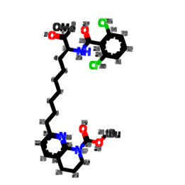 COC(=O)[C@H](CCCCCCCc1ccc2c(n1)N(C(=O)OC(C)(C)C)CCC2)NC(=O)c1c(Cl)cccc1Cl